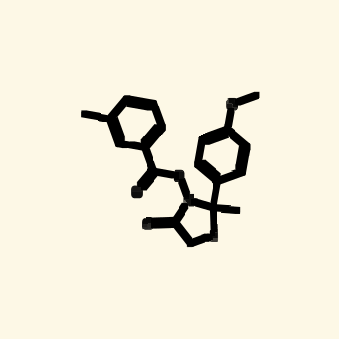 COc1ccc(C2(C)SCC(=O)N2OC(=O)c2cccc(C)c2)cc1